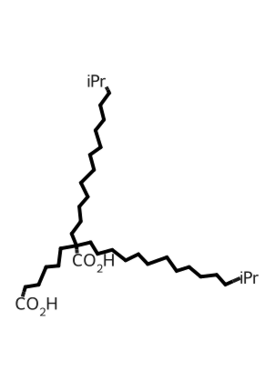 CC(C)CCCCCCCCCCCCC(CCCCCCCCCCCCC(C)C)(CCCCCC(=O)O)C(=O)O